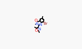 Cc1cc(Br)c2nc(-c3nc(C)oc3C)n(C)c(=O)c2c1